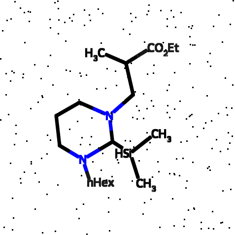 CCCCCCN1CCCN(CC(C)C(=O)OCC)C1[SiH](C)C